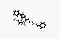 CC(C)(C)CC(=O)[Si](C)(C)OC(CCCCCCc1ccccc1)c1nc(-c2cccnc2)co1